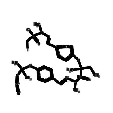 CCC(C)(Oc1ccc(/C=N/N(C)P(=S)(Cl)CI)cc1)[PH](=S)N(C)/N=C/c1ccc(OC(C)(C)N=[N+]=[N-])cc1